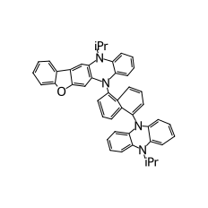 CC(C)N1c2ccccc2N(c2cccc3c(N4c5ccccc5N(C(C)C)c5cc6c(cc54)oc4ccccc46)cccc23)c2ccccc21